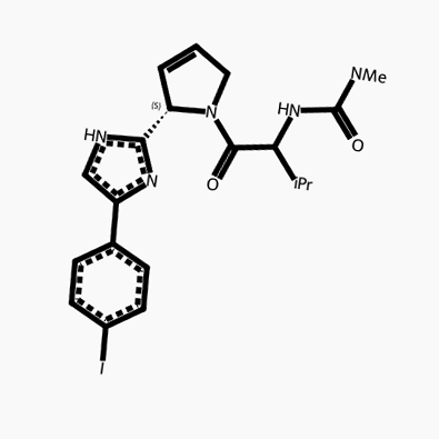 CNC(=O)NC(C(=O)N1CC=C[C@H]1c1nc(-c2ccc(I)cc2)c[nH]1)C(C)C